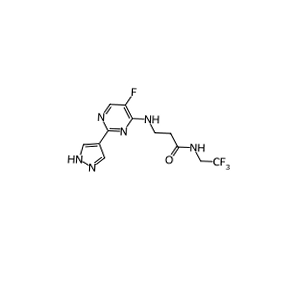 O=C(CCNc1nc(-c2cn[nH]c2)ncc1F)NCC(F)(F)F